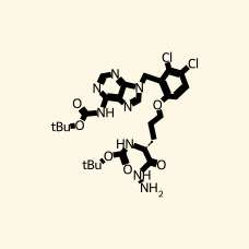 CC(C)(C)OC(=O)Nc1ncnc2c1ncn2Cc1c(OCCC[C@@H](NC(=O)OC(C)(C)C)C(=O)NN)ccc(Cl)c1Cl